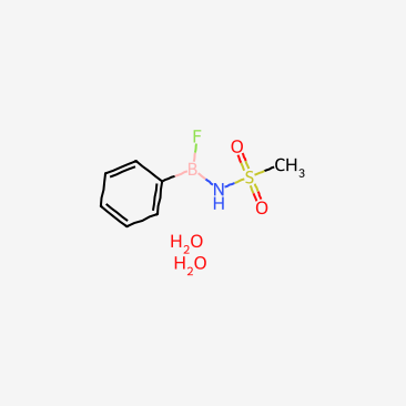 CS(=O)(=O)NB(F)c1ccccc1.O.O